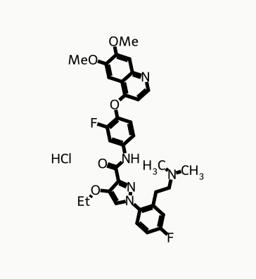 CCOc1cn(-c2ccc(F)cc2CCN(C)C)nc1C(=O)Nc1ccc(Oc2ccnc3cc(OC)c(OC)cc23)c(F)c1.Cl